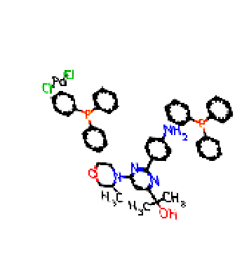 C[C@H]1COCCN1c1cc(C(C)(C)O)nc(-c2ccc(N)cc2)n1.[Cl][Pd][Cl].c1ccc(P(c2ccccc2)c2ccccc2)cc1.c1ccc(P(c2ccccc2)c2ccccc2)cc1